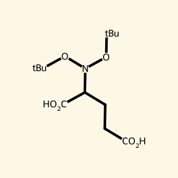 CC(C)(C)ON(OC(C)(C)C)C(CCC(=O)O)C(=O)O